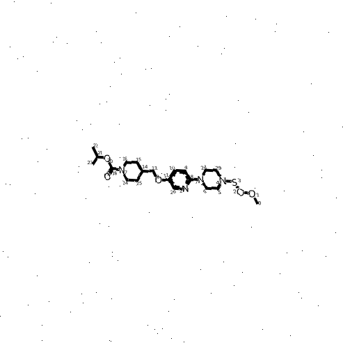 COOSN1CCN(c2ccc(OCC3CCN(C(=O)OC(C)C)CC3)cn2)CC1